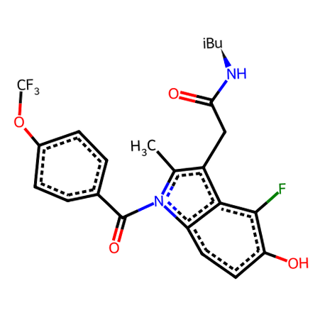 CC[C@H](C)NC(=O)Cc1c(C)n(C(=O)c2ccc(OC(F)(F)F)cc2)c2ccc(O)c(F)c12